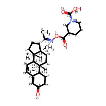 CC(=NOC(=O)C1CCCN(C(=O)O)C1)[C@H]1CC[C@H]2[C@@H]3CCC4=CC(=O)CC[C@]4(C)[C@H]3CC[C@]12C